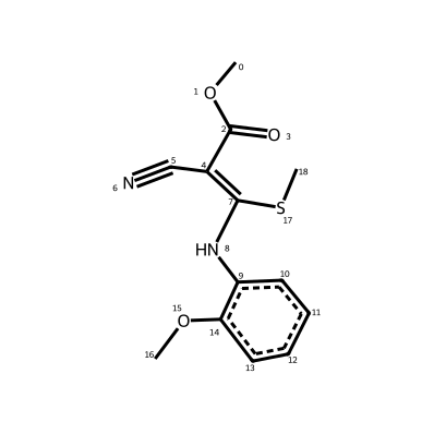 COC(=O)/C(C#N)=C(/Nc1ccccc1OC)SC